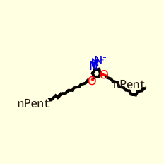 CCCCCC=CCC=CCCCCCCCCOC1CC(N=[N+]=[N-])CC(OCCCCCCCC/C=C\C/C=C\CCCCC)C1